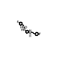 O=C(NCc1ccc(F)cc1)Nc1ccc2[nH]c(CCc3ccc(F)cc3)nc2c1